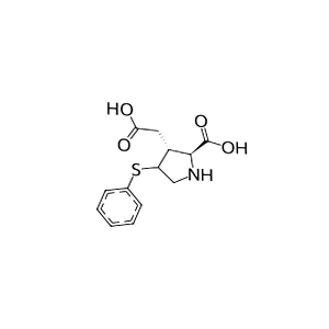 O=C(O)C[C@H]1C(Sc2ccccc2)CN[C@@H]1C(=O)O